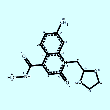 CNC(=O)c1cc(=O)n(CC2OCCO2)c2cc(C)ccc12